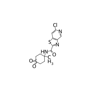 CC1(NC(=O)c2nc3cnc(Cl)cc3s2)CCS(=O)(=O)CC1